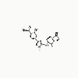 COC1CC(c2nc(Nc3ccc4[nH]ncc4c3C)n(C)n2)=CC=C1C(=O)NC(C)C